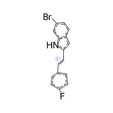 Fc1ccc(/C=C/c2cc3ccc(Br)cc3[nH]2)cc1